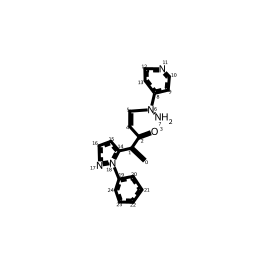 C=C(C(=O)/C=C\N(N)c1ccncc1)c1ccnn1-c1ccccc1